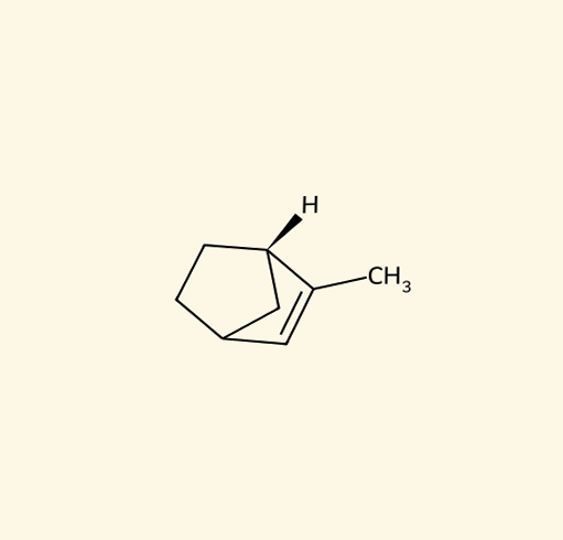 CC1=CC2CC[C@H]1C2